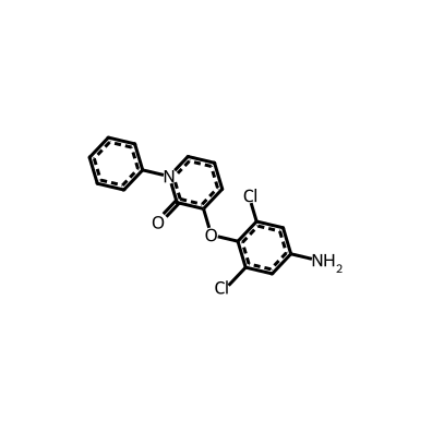 Nc1cc(Cl)c(Oc2cccn(-c3ccccc3)c2=O)c(Cl)c1